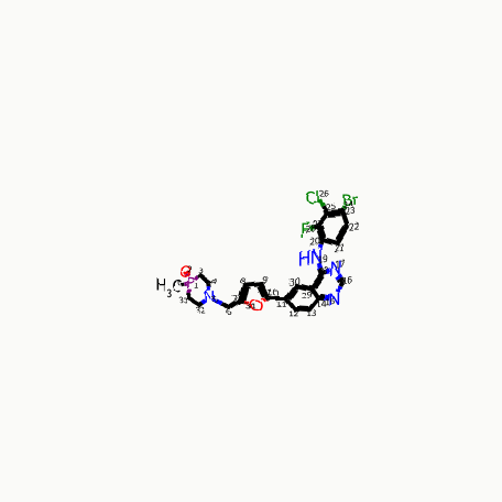 CP1(=O)CCN(Cc2ccc(-c3ccc4ncnc(Nc5ccc(Br)c(Cl)c5F)c4c3)o2)CC1